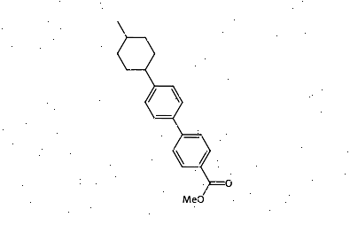 COC(=O)c1ccc(-c2ccc(C3CCC(C)CC3)cc2)cc1